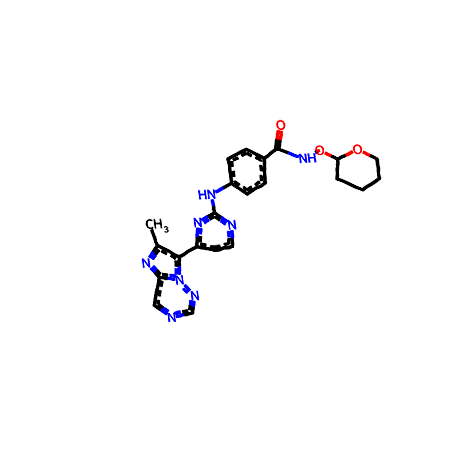 Cc1nc2cncnn2c1-c1ccnc(Nc2ccc(C(=O)NOC3CCCCO3)cc2)n1